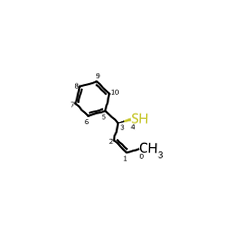 C/C=C\[C@H](S)c1ccccc1